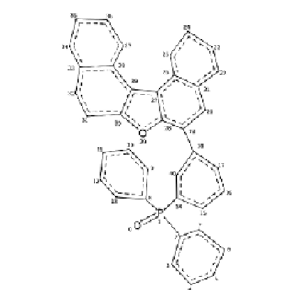 O=P(c1ccccc1)(c1ccccc1)c1cccc(-c2cc3ccccc3c3c2oc2ccc4ccccc4c23)c1